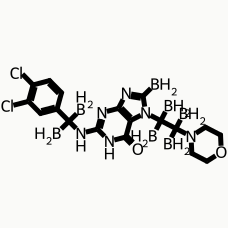 Bc1nc2nc(NC(B)(B)c3ccc(Cl)c(Cl)c3)[nH]c(=O)c2n1C(B)(B)C(B)(B)N1CCOCC1